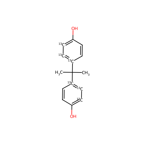 CC(C)([13c]1ccc(O)[13cH][13cH]1)[13c]1ccc(O)[13cH][13cH]1